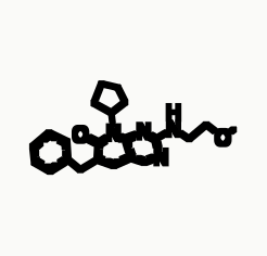 COCCNc1ncc2cc(Cc3ccccc3)c(=O)n(C3CCCC3)c2n1